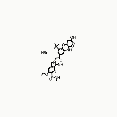 Br.CCOc1cc2c(nc1C(=O)NC)C(=N)N(CC(=O)c1cc3c(c(C(C)(C)C)c1)OC(CC(=O)O)C(=O)N3)C2